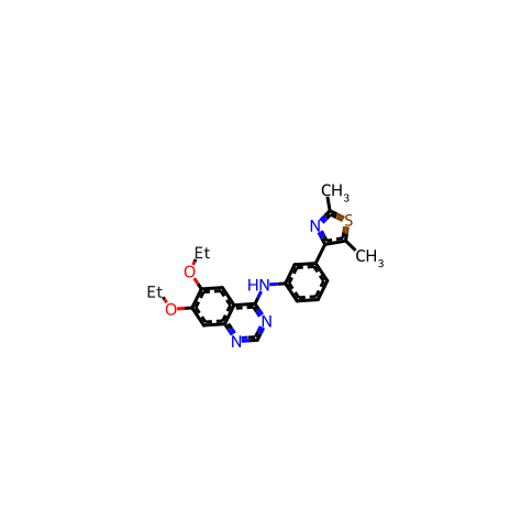 CCOc1cc2ncnc(Nc3cccc(-c4nc(C)sc4C)c3)c2cc1OCC